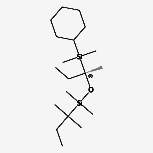 CCC(C)(C)[Si](C)(C)O[C@@](C)(CC)[Si](C)(C)C1CCCCC1